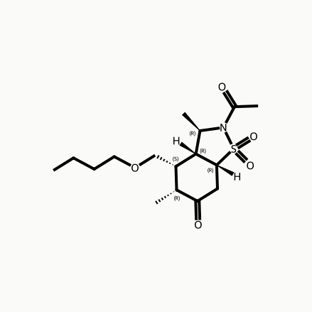 CCCCOC[C@@H]1[C@@H]2[C@@H](C)N(C(C)=O)S(=O)(=O)[C@@H]2CC(=O)[C@@H]1C